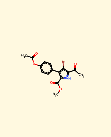 COC(=O)c1[nH]c(C(C)=O)c(Br)c1-c1ccc(OC(C)=O)cc1